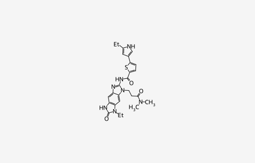 CCc1cc(-c2ccc(C(=O)Nc3nc4cc5[nH]c(=O)n(CC)c5cc4n3CCC(=O)N(C)C)s2)c[nH]1